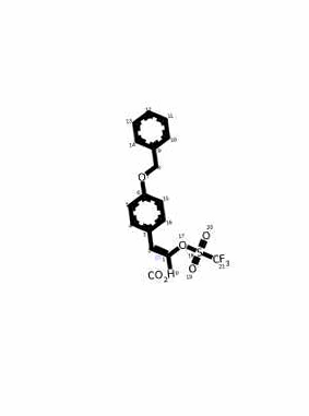 O=C(O)/C(=C/c1ccc(OCc2ccccc2)cc1)OS(=O)(=O)C(F)(F)F